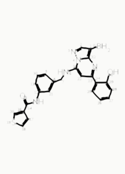 Bc1cnn2c(NCc3cccc(NC(=O)c4ccsc4)c3)cc(-c3ccccc3O)nc12